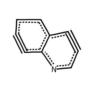 c1ccc2c#ccnc2c#1